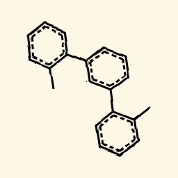 Cc1ccccc1-c1[c]c(-c2ccccc2C)ccc1